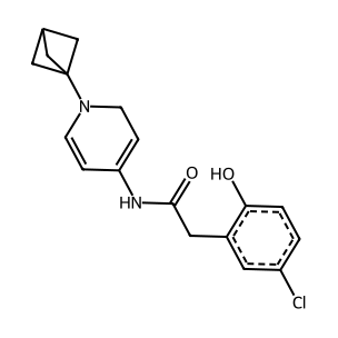 O=C(Cc1cc(Cl)ccc1O)NC1=CCN(C23CC(C2)C3)C=C1